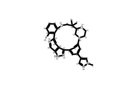 Cn1cc(-c2cc3cc(c2)N2CCOC(C2)C(C)(C)COc2cccc(F)c2-c2cc4c-3n[nH]c4cn2)cn1